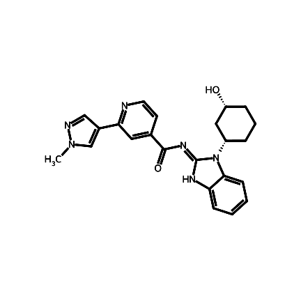 Cn1cc(-c2cc(C(=O)/N=c3\[nH]c4ccccc4n3[C@H]3CCC[C@@H](O)C3)ccn2)cn1